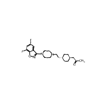 CC(=O)C[C@H]1CC[C@H](CCN2CCN(c3noc4c(F)cc(F)cc34)CC2)CC1